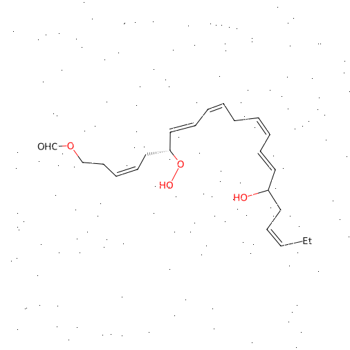 CC/C=C\CC(O)/C=C/C=C\C/C=C\C=C\[C@@H](C/C=C\CCOC=O)OO